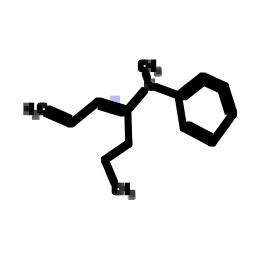 C=C/C=C(\CCC)N(C)C1=C=C=CC=C1